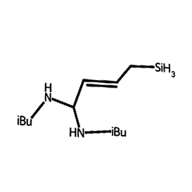 CCC(C)NC(C=CC[SiH3])NC(C)CC